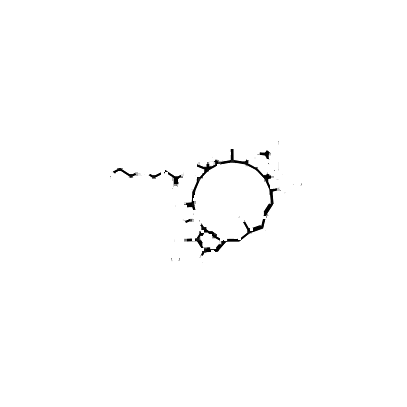 COc1cc2cc(c1Cl)N(C)C(=O)CC(OC(=O)CCOCCS)C1(C)OC1C(C)C1CC(O)(NC(=O)O1)C(OC)/C=C/C=C(\C)C2